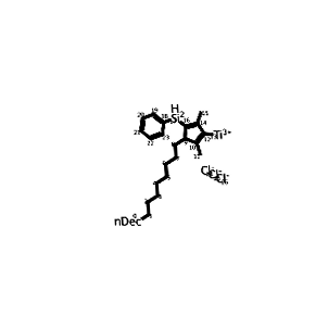 CCCCCCCCCCCCCCCCCCC1C(C)=[C]([Ti+3])C(C)=C1[SiH2]c1ccccc1.[Cl-].[Cl-].[Cl-]